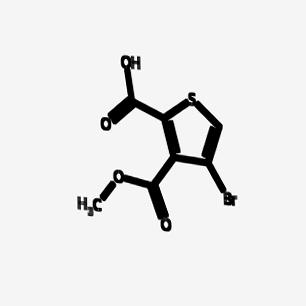 COC(=O)c1c(Br)csc1C(=O)O